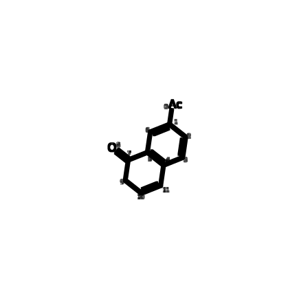 CC(=O)c1ccc2c(c1)C(=O)CC=C2